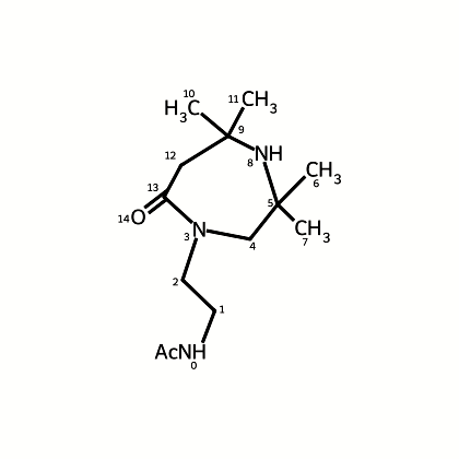 CC(=O)NCCN1CC(C)(C)NC(C)(C)CC1=O